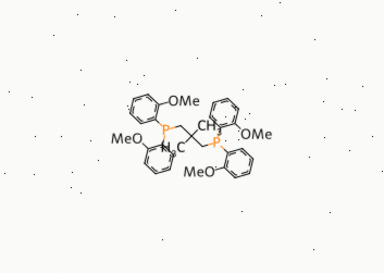 COc1ccccc1P(CC(C)(C)CP(c1ccccc1OC)c1ccccc1OC)c1ccccc1OC